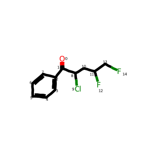 O=C(c1ccccc1)C(Cl)CC(F)CF